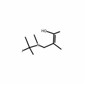 C/C(O)=C(\C)CN(C)C(C)(C)I